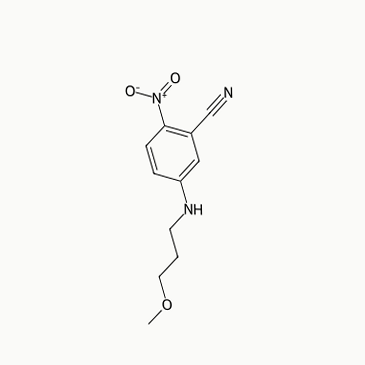 COCCCNc1ccc([N+](=O)[O-])c(C#N)c1